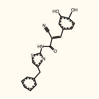 N#C/C(=C\c1ccc(O)c(O)c1)C(=O)Nc1nc(Cc2ccccc2)cs1